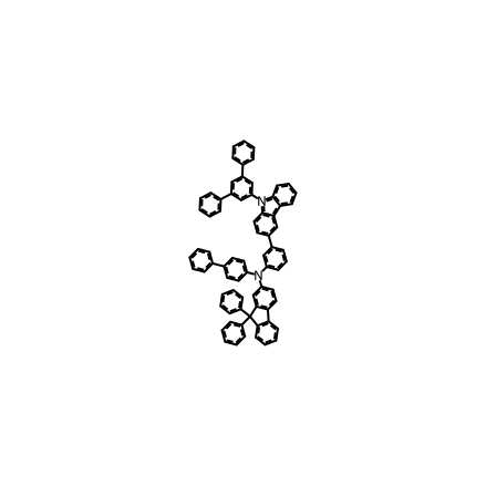 c1ccc(-c2ccc(N(c3cccc(-c4ccc5c(c4)c4ccccc4n5-c4cc(-c5ccccc5)cc(-c5ccccc5)c4)c3)c3ccc4c(c3)C(c3ccccc3)(c3ccccc3)c3ccccc3-4)cc2)cc1